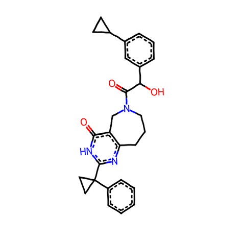 O=C(C(O)c1cccc(C2CC2)c1)N1CCCc2nc(C3(c4ccccc4)CC3)[nH]c(=O)c2C1